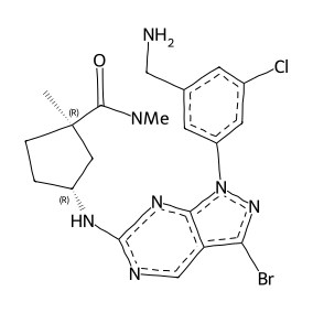 CNC(=O)[C@]1(C)CC[C@@H](Nc2ncc3c(Br)nn(-c4cc(Cl)cc(CN)c4)c3n2)C1